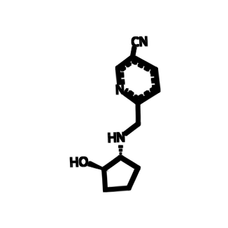 N#Cc1ccc(CN[C@@H]2CCC[C@H]2O)nc1